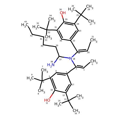 CC=C(c1cc(C(C)(C)C)c(O)c(C(C)(C)C)c1)N(C(=CC)c1cc(C(C)(C)C)c(O)c(C(C)(C)C)c1)C(N)CCCCC